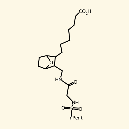 CCCCCS(=O)(=O)NCC(=O)NCC1C2CCC(O2)C1CCCCCCC(=O)O